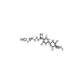 Cc1cc(-c2cc(C)c(NCCCCS(=O)(=O)O)c(C)c2)cc(C)c1N